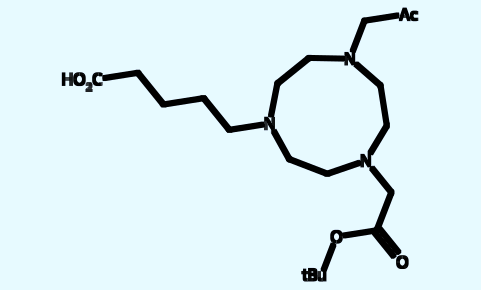 CC(=O)CN1CCN(CCCCC(=O)O)CCN(CC(=O)OC(C)(C)C)CC1